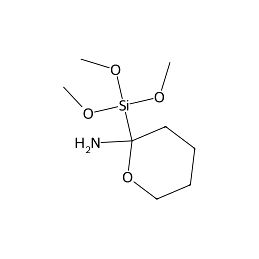 CO[Si](OC)(OC)C1(N)CCCCO1